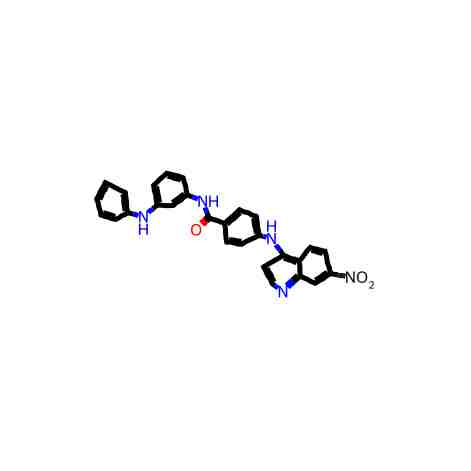 O=C(Nc1cccc(Nc2ccccc2)c1)c1ccc(Nc2ccnc3cc([N+](=O)[O-])ccc23)cc1